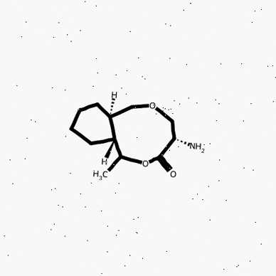 CC1OC(=O)[C@@H](N)COC[C@@H]2CCCC[C@@H]12